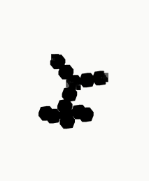 c1ccc2cc(-c3c4ccccc4c(-c4ccc5ccccc5c4)c4cc(-c5ccc(-c6nc(-c7ccc(-c8ccncc8)cc7)cc(-c7ccc(-c8ccncc8)cc7)n6)cc5)ccc34)ccc2c1